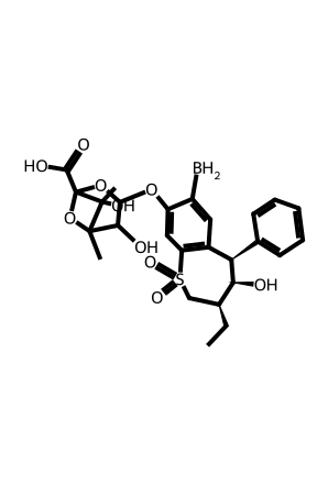 Bc1cc2c(cc1OC1OC3(C(=O)O)OC(C)(C1O)C3(C)O)S(=O)(=O)C[C@H](CC)[C@H](O)[C@@H]2c1ccccc1